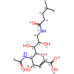 CC(=O)NC1C(C(O)C(O)CNC(=O)CCC(C)C)OC(C(=O)O)=C[C@H]1O